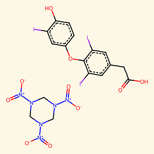 O=C(O)Cc1cc(I)c(Oc2ccc(O)c(I)c2)c(I)c1.O=[N+]([O-])N1CN([N+](=O)[O-])CN([N+](=O)[O-])C1